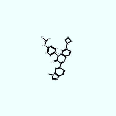 Cn1cnc2ccc(-c3nc4ccc(C5CCC5)cc4n(-c4ccc(OC(F)F)cc4)c3=O)cc21